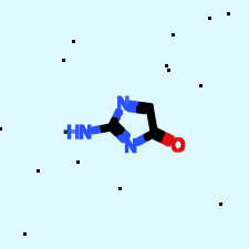 [NH]C1=NC(=O)C=N1